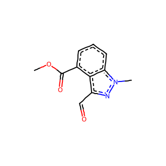 COC(=O)c1cccc2c1c(C=O)nn2C